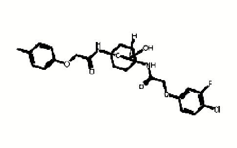 Cc1ccc(OCC(=O)NC23CCC(NC(=O)COc4ccc(Cl)c(F)c4)(CC2)[C@@H](O)C3)cc1